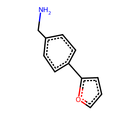 NCc1ccc(-c2ccco2)cc1